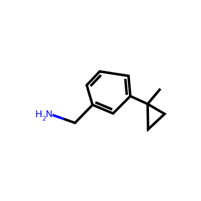 CC1(c2cccc(CN)c2)CC1